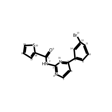 O=C(Nc1nccc(-c2cccc(Br)c2)n1)c1cccs1